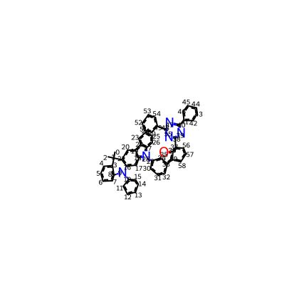 CC1(C)c2ccccc2N(c2ccccc2)c2cc3c(cc21)c1ccccc1n3-c1cccc2c1oc1c(-c3nc(-c4ccccc4)nc(-c4ccccc4)n3)cccc12